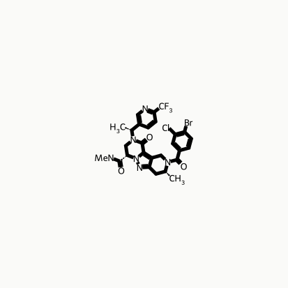 CNC(=O)[C@@H]1CN([C@H](C)c2ccc(C(F)(F)F)nc2)C(=O)c2c3c(nn21)C[C@@H](C)N(C(=O)c1ccc(Br)c(Cl)c1)C3